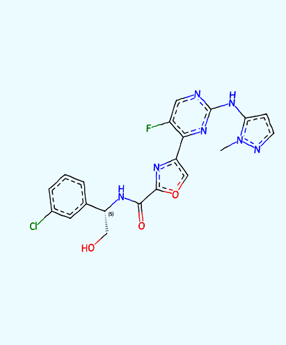 Cn1nccc1Nc1ncc(F)c(-c2coc(C(=O)N[C@H](CO)c3cccc(Cl)c3)n2)n1